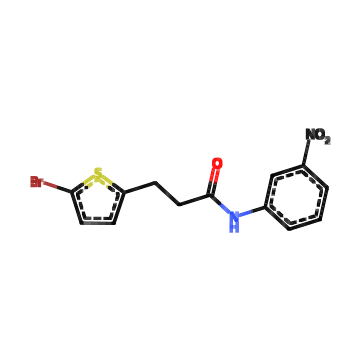 O=C(CCc1ccc(Br)s1)Nc1cccc([N+](=O)[O-])c1